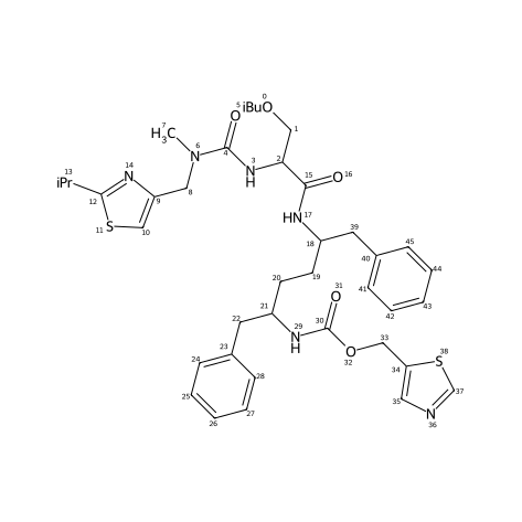 CC(C)COCC(NC(=O)N(C)Cc1csc(C(C)C)n1)C(=O)NC(CCC(Cc1ccccc1)NC(=O)OCc1cncs1)Cc1ccccc1